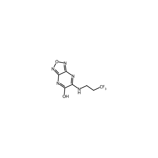 Oc1nc2nonc2nc1NCCC(F)(F)F